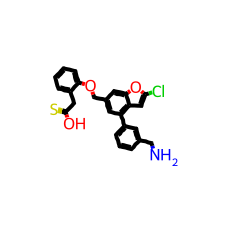 NCc1cccc(-c2cc(COc3ccccc3CC(O)=S)cc3oc(Cl)cc23)c1